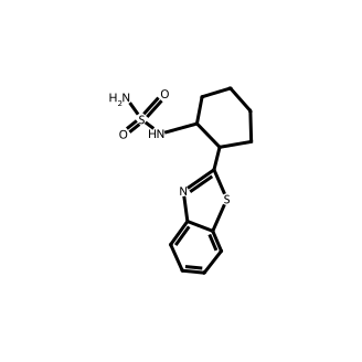 NS(=O)(=O)NC1CCCCC1c1nc2ccccc2s1